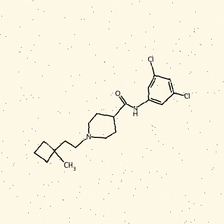 CC1(CCN2CCC(C(=O)Nc3cc(Cl)cc(Cl)c3)CC2)CCC1